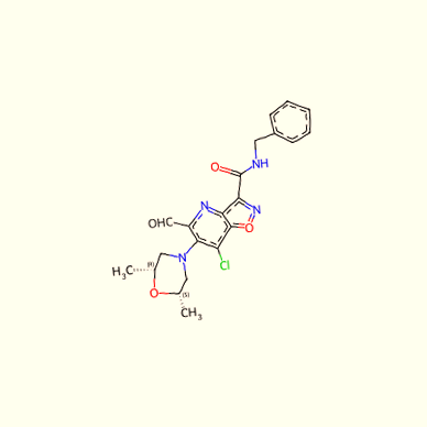 C[C@@H]1CN(c2c(C=O)nc3c(C(=O)NCc4ccccc4)noc3c2Cl)C[C@H](C)O1